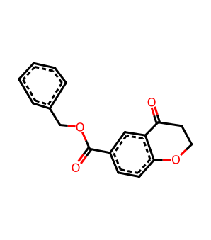 O=C(OCc1ccccc1)c1ccc2c(c1)C(=O)CCO2